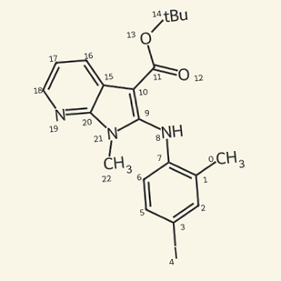 Cc1cc(I)ccc1Nc1c(C(=O)OC(C)(C)C)c2cccnc2n1C